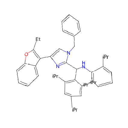 CCc1oc2ccccc2c1-c1cn(Cc2ccccc2)c(C(Nc2c(C(C)C)cccc2C(C)C)c2c(C(C)C)cc(C(C)C)cc2C(C)C)n1